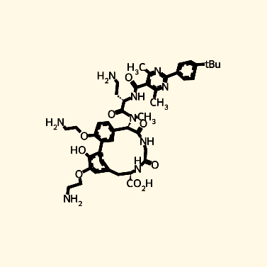 Cc1nc(-c2ccc(C(C)(C)C)cc2)nc(C)c1C(=O)N[C@@H](CCN)C(=O)N(C)[C@@H]1C(=O)NCC(=O)N[C@H](C(=O)O)Cc2cc(OCCN)c(O)c(c2)-c2cc1ccc2OCCN